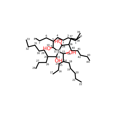 CCCCCC(CCC)[CH](O)[Ti]([CH](O)C(CCC)CCCCC)([CH](O)C(CCC)CCCCC)[CH](O)C(CCC)CCCCC